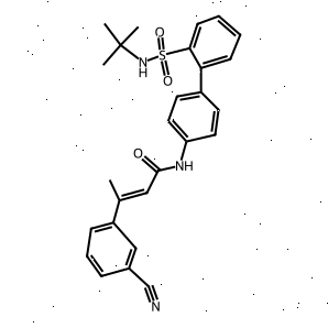 C/C(=C\C(=O)Nc1ccc(-c2ccccc2S(=O)(=O)NC(C)(C)C)cc1)c1cccc(C#N)c1